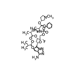 CC(C)C(=O)O[C@H]1[C@H](c2ccc3c(N)ncnn23)O[C@](CF)(COP(=O)(NC(C)C(=O)O[C@@H]2CCN(C)C2)Oc2ccccc2)[C@H]1OC(=O)C(C)C